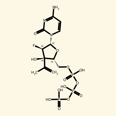 C=C(C)[C@@]1(O)[C@@H](COP(=O)(O)OP(=O)(O)OP(=O)(O)O)O[C@@H](n2ccc(N)nc2=O)[C@@H]1F